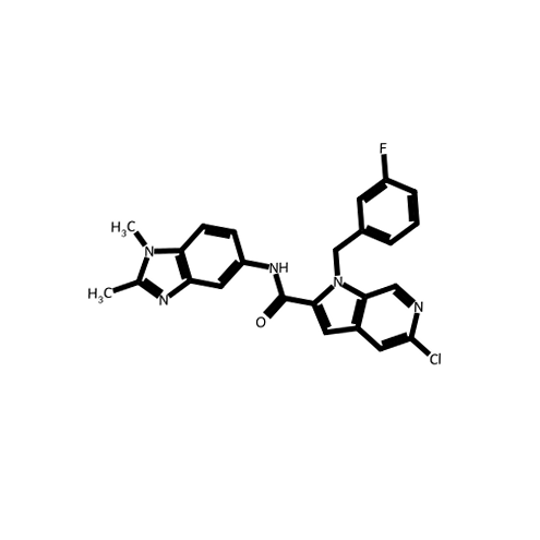 Cc1nc2cc(NC(=O)c3cc4cc(Cl)ncc4n3Cc3cccc(F)c3)ccc2n1C